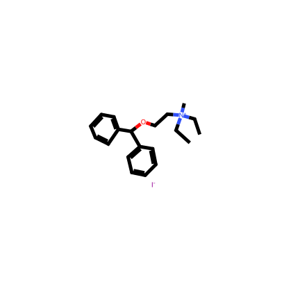 CC[N+](C)(CC)CCOC(c1ccccc1)c1ccccc1.[I-]